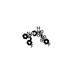 O=S(=O)(CCS(=O)(=O)c1ccc(F)cc1)NC1CCN(c2nc3ccccc3n2Cc2cccc(F)c2)CC1